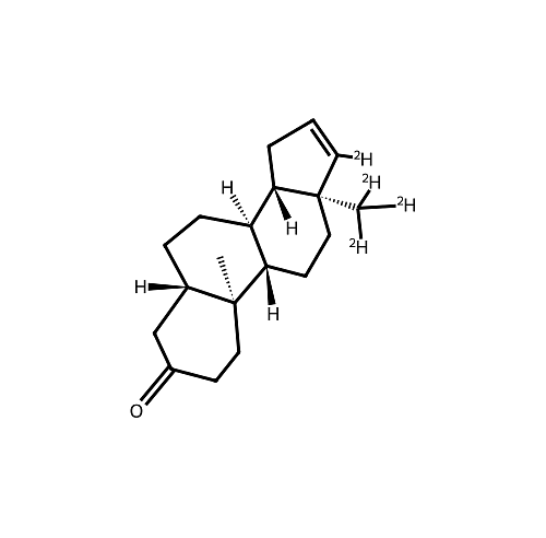 [2H]C1=CC[C@H]2[C@@H]3CC[C@H]4CC(=O)CC[C@]4(C)[C@H]3CC[C@]12C([2H])([2H])[2H]